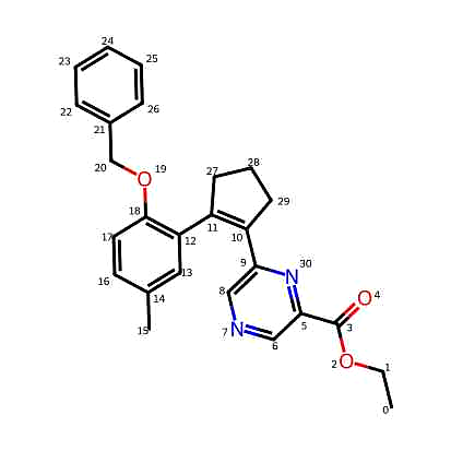 CCOC(=O)c1cncc(C2=C(c3cc(C)ccc3OCc3ccccc3)CCC2)n1